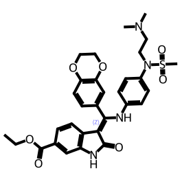 CCOC(=O)c1ccc2c(c1)NC(=O)/C2=C(\Nc1ccc(N(CCN(C)C)S(C)(=O)=O)cc1)c1ccc2c(c1)OCCO2